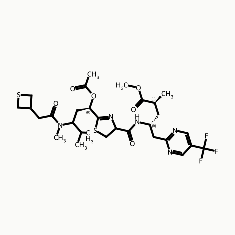 COC(=O)[C@@H](C)C[C@H](Cc1ncc(C(F)(F)F)cn1)NC(=O)C1CSC([C@@H](CC(C(C)C)N(C)C(=O)CC2CSC2)OC(C)=O)=N1